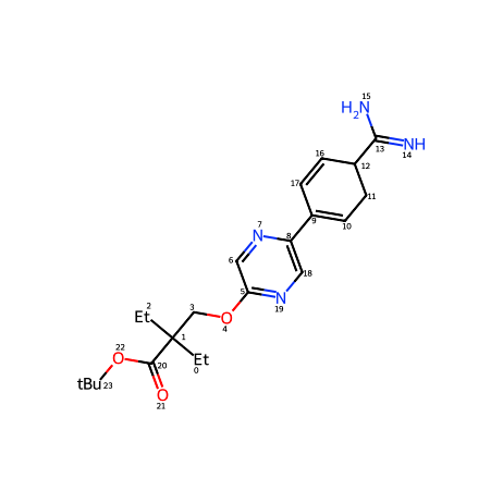 CCC(CC)(COc1cnc(C2=CCC(C(=N)N)C=C2)cn1)C(=O)OC(C)(C)C